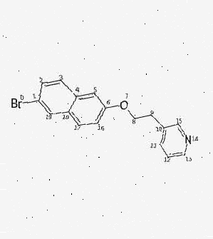 Brc1ccc2cc(OCCc3cccnc3)ccc2c1